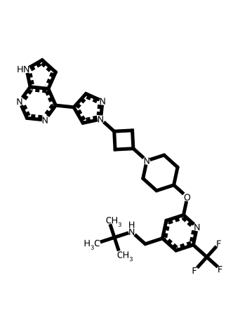 CC(C)(C)NCc1cc(OC2CCN(C3CC(n4cc(-c5ncnc6[nH]ccc56)cn4)C3)CC2)nc(C(F)(F)F)c1